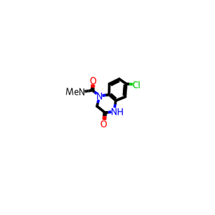 CNC(=O)N1CC(=O)Nc2cc(Cl)ccc21